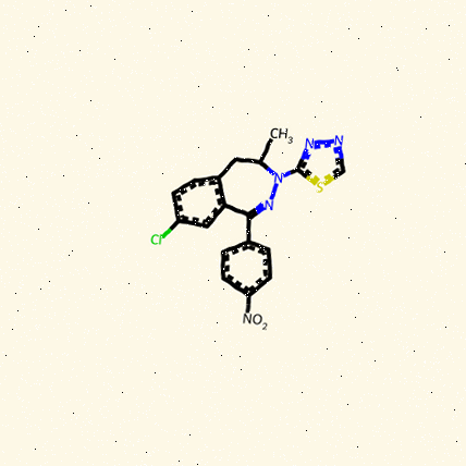 CC1Cc2ccc(Cl)cc2C(c2ccc([N+](=O)[O-])cc2)=NN1c1nncs1